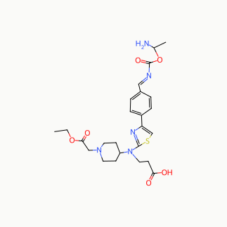 CCOC(=O)CN1CCC(N(CCC(=O)O)c2nc(-c3ccc(C=NC(=O)OC(C)N)cc3)cs2)CC1